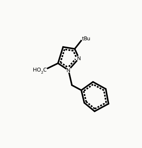 CC(C)(C)c1cc(C(=O)O)n(Cc2ccccc2)n1